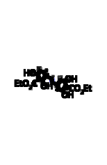 CCOC(=O)c1c(O)cc(/C=C/c2ccc(O)c(C(=O)OCC)c2O)cc1O